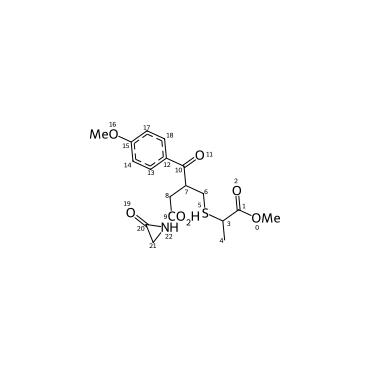 COC(=O)C(C)SCC(CC(=O)O)C(=O)c1ccc(OC)cc1.O=C1CN1